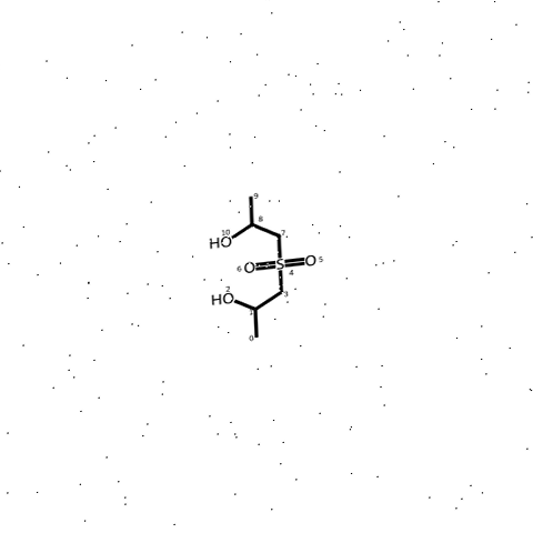 CC(O)CS(=O)(=O)CC(C)O